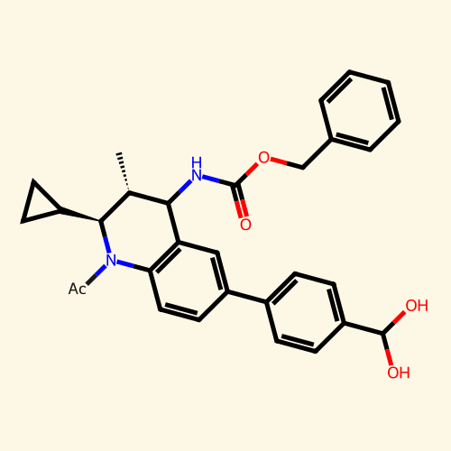 CC(=O)N1c2ccc(-c3ccc(C(O)O)cc3)cc2C(NC(=O)OCc2ccccc2)[C@@H](C)[C@@H]1C1CC1